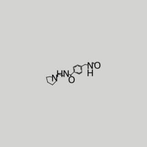 O=CNCc1ccc(C(=O)NCCN2CCCCC2)cc1